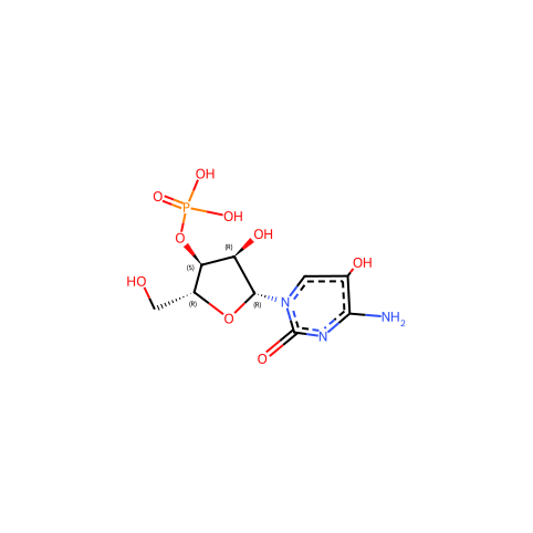 Nc1nc(=O)n([C@@H]2O[C@H](CO)[C@@H](OP(=O)(O)O)[C@H]2O)cc1O